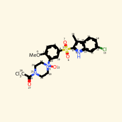 COc1ccc(S(=O)(=O)c2[nH]c3cc(Cl)ccc3c2C)cc1[N+]1([O-])CCN(C(=O)C(Cl)(Cl)Cl)CC1